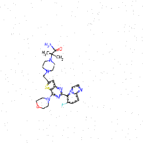 CC(C)(C(N)=O)N1CCN(Cc2cc3nc(-c4c(F)ccc5nccn45)nc(N4CCOCC4)c3s2)CC1